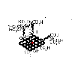 O=C(O)CN(CC(=O)O)C(CCCCNC(=O)C1=Cc2cc3c4c5c2C2C6=c7c8c9c(cc7=CC12)C(C(=O)NCCCCC(C(=O)O)N(CC(=O)O)CC(=O)O)C1C=CC=C2C=C7C=C%10C%11=C%12C(=CC%10O)C(O)C%10=CC%13C(=C%14C%10=C%12C(=C8C%11(O)[C@H]7C9=C21)C6C%145O)C4C1(O)C(=CC=CC1(NCCCCC(C(=O)O)N(CC(=O)O)CC(=O)O)C3)C%13C(=O)O)C(=O)O